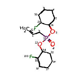 C=CCP(=O)(OC1CCCCC1F)OC1CCCCC1F